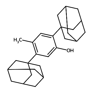 Cc1cc(C23CC4CC(CC(C4)C2)C3)c(O)cc1C12CC3CC(CC(C3)C1)C2